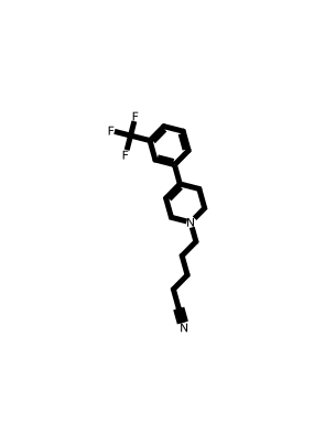 N#CCCCCN1CC=C(c2cccc(C(F)(F)F)c2)CC1